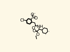 CCOC(=O)C(NC(=O)Cc1ccc(Cl)cc1[N+](=O)[O-])C1C[CH][CH]CC1